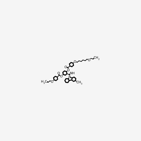 C=CCOCCCCCCOc1ccc(C(=O)Oc2ccc(OC(=O)c3ccc(OCC=C)cc3)cc2C(=N)n2c3ccccc3c3cc(C)ccc32)cc1